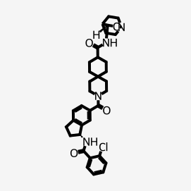 O=C(N[C@@H]1CCc2ccc(C(=O)N3CCC4(CCC(C(=O)N[C@H]5CN6CCC5CC6)CC4)CC3)cc21)c1ccccc1Cl